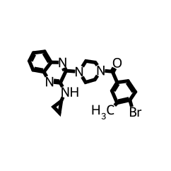 Cc1cc(C(=O)N2CCN(c3nc4ccccc4nc3NC3CC3)CC2)ccc1Br